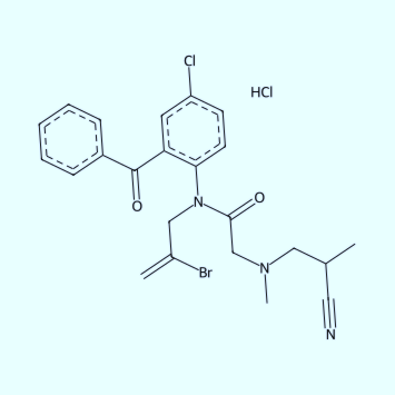 C=C(Br)CN(C(=O)CN(C)CC(C)C#N)c1ccc(Cl)cc1C(=O)c1ccccc1.Cl